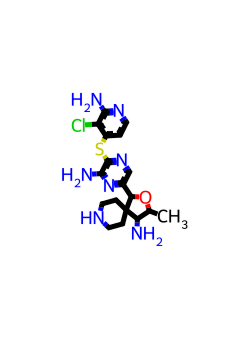 CC1OC(c2cnc(Sc3ccnc(N)c3Cl)c(N)n2)C2(CCNCC2)C1N